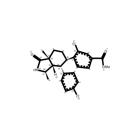 COC(=O)c1ccc([C@@H]2CC[C@@]3(C)C(=O)N[C@H](C)[C@H]3[C@H]2c2ccc(Cl)cc2)c(Cl)c1